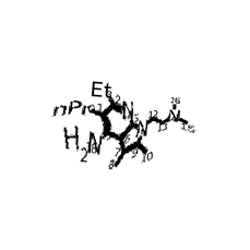 CCCc1c(CC)nc2c(c(C)c(C)n2CCN(C)C)c1N